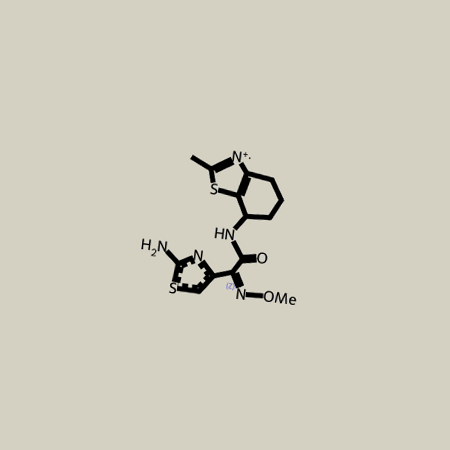 CO/N=C(\C(=O)NC1CCCC2=C1SC(C)=[N+]2)c1csc(N)n1